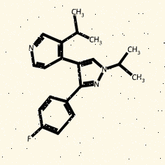 CC(C)c1[c]nccc1-c1cn(C(C)C)nc1-c1ccc(F)cc1